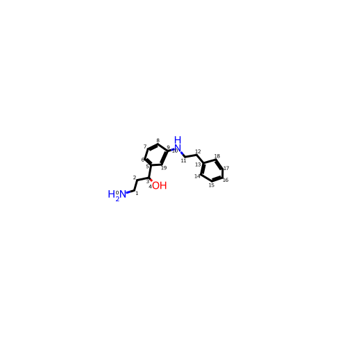 NCCC(O)c1cccc(NCCc2ccccc2)c1